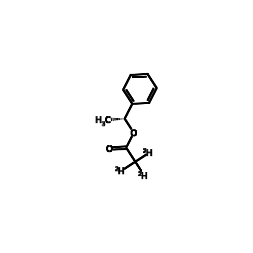 [2H]C([2H])([2H])C(=O)O[C@H](C)c1ccccc1